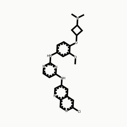 COc1cc(Nc2nccc(Nc3cnc4cnc(Cl)cc4c3)n2)ccc1OC1CC(N(C)C)C1